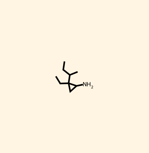 CCC(C)C1(CC)CC1N